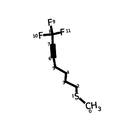 CSCCCCC#CC(F)(F)F